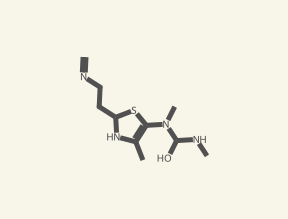 C=NCCC1NC(C)=C(N(C)C(O)NC)S1